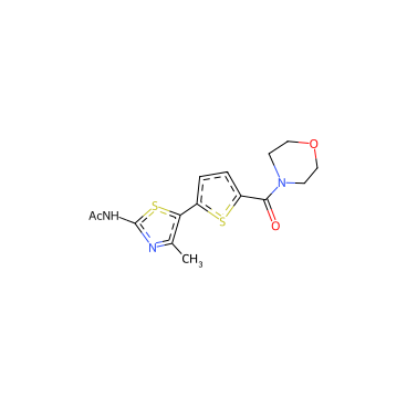 CC(=O)Nc1nc(C)c(-c2ccc(C(=O)N3CCOCC3)s2)s1